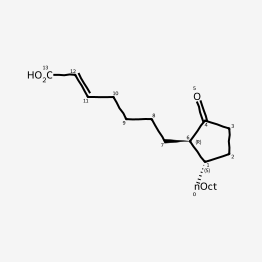 CCCCCCCC[C@H]1CCC(=O)[C@@H]1CCCCC=CC(=O)O